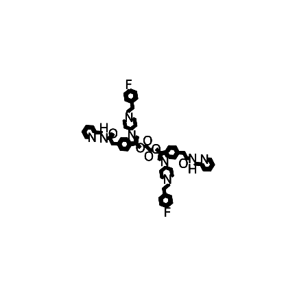 O=C(Cc1ccc2c(OC(=O)C(=O)Oc3cn(C4CCN(CCc5ccc(F)cc5)CC4)c4cc(CC(=O)NCc5ccccn5)ccc34)cn(C3CCN(CCc4ccc(F)cc4)CC3)c2c1)NCc1ccccn1